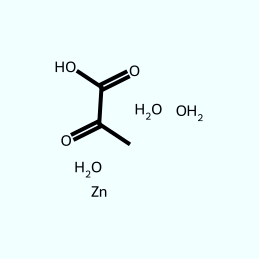 CC(=O)C(=O)O.O.O.O.[Zn]